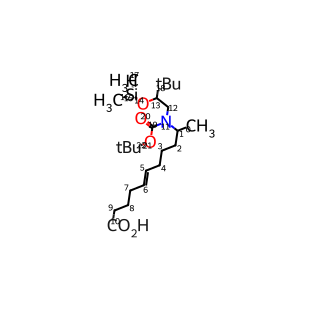 CC(CCCC=CCCCC(=O)O)N(CC(O[SiH](C)C)C(C)(C)C)C(=O)OC(C)(C)C